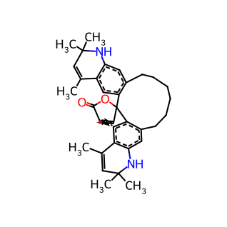 CC1=CC(C)(C)Nc2cc3c(cc21)C1(OC(=O)c2ccccc21)c1cc2c(cc1CCCCCC3)NC(C)(C)C=C2C